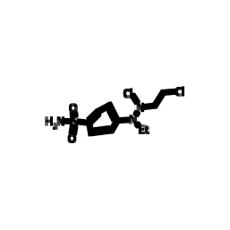 CCN(c1ccc(S(N)(=O)=O)cc1)N(Cl)CCCl